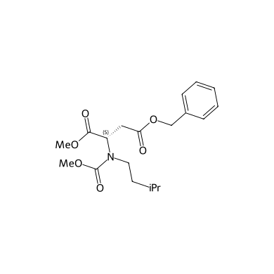 COC(=O)[C@H](CC(=O)OCc1ccccc1)N(CCC(C)C)C(=O)OC